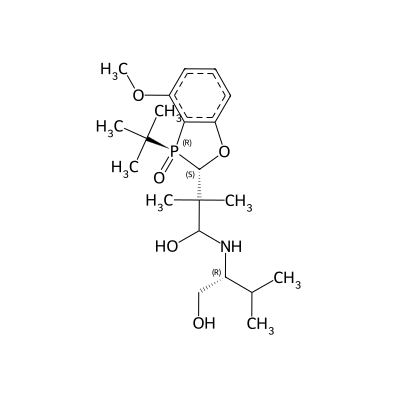 COc1cccc2c1[P@](=O)(C(C)(C)C)[C@@H](C(C)(C)C(O)N[C@@H](CO)C(C)C)O2